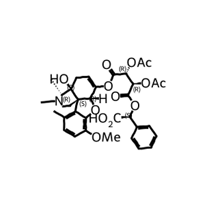 COc1ccc(C)c2c1O[C@H]1C(OC(=O)[C@H](OC(C)=O)[C@@H](OC(C)=O)C(=O)O[C@H](C(=O)O)c3ccccc3)=CC[C@@]3(O)[C@@H](C)N(C)CC[C@]213